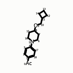 CC(=O)c1ccc(N2CCC(OCC3CCC3)CC2)cc1